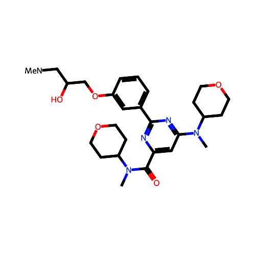 CNCC(O)COc1cccc(-c2nc(C(=O)N(C)C3CCOCC3)cc(N(C)C3CCOCC3)n2)c1